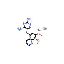 COc1cc(Cc2cnc(N)nc2N)c2cccnc2c1OC.Cl.Cl